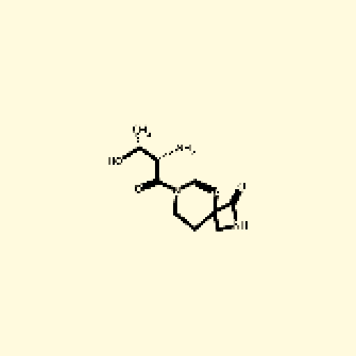 C[C@@H](O)[C@H](N)C(=O)N1C=NC2(CC1)CNC2=O